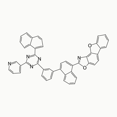 c1cncc(-c2nc(-c3cccc(-c4ccc(-c5nc6c(ccc7c8ccccc8oc76)o5)c5ccccc45)c3)nc(-c3cccc4ccccc34)n2)c1